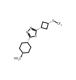 O=C(O)[C@H]1CC[C@H](c2nnc([C@H]3C[C@@H](OC(F)(F)F)C3)o2)CC1